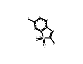 CC1=Cc2ccc(C)cc2S1(=O)=O